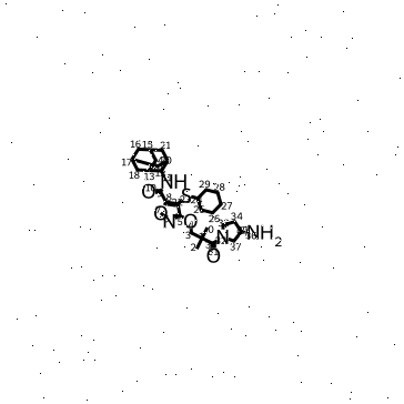 CC(C)(COc1noc(C(=O)NC2C3CC4CC(C3)CC2C4)c1SC1CCCCC1)C(=O)N1CC[C@H](N)C1